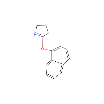 c1ccc2c(OC3=NCCC3)cccc2c1